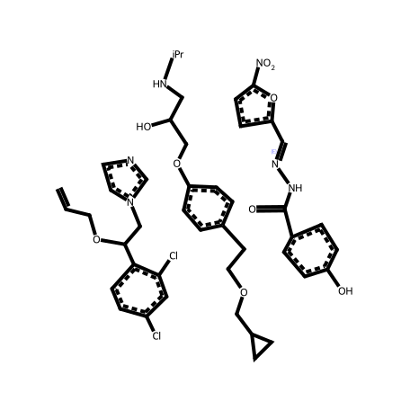 C=CCOC(Cn1ccnc1)c1ccc(Cl)cc1Cl.CC(C)NCC(O)COc1ccc(CCOCC2CC2)cc1.O=C(N/N=C/c1ccc([N+](=O)[O-])o1)c1ccc(O)cc1